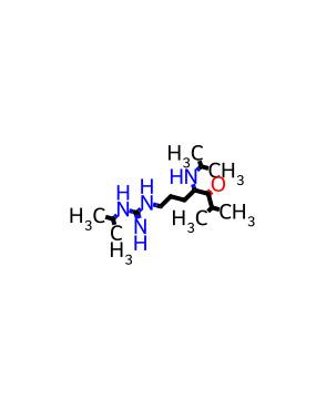 CC(C)NC(=N)NCCCC(NC(C)C)C(=O)C(C)C